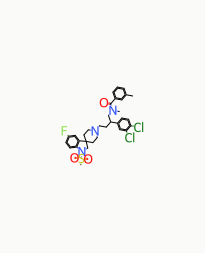 Cc1cccc(C(=O)N(C)CC(CCN2CCC3(CC2)CN(S(C)(=O)=O)c2ccc(F)cc23)c2ccc(Cl)c(Cl)c2)c1